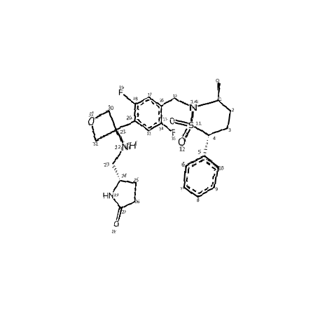 C[C@H]1CC[C@H](c2ccccc2)S(=O)(=O)N1Cc1cc(F)c(C2(NC[C@@H]3CCC(=O)N3)COC2)cc1F